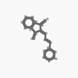 O=C1C(=CC=Cc2ccccc2)C(=O)c2ccccc21